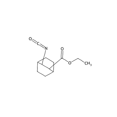 CCOC(=O)C1C2CCC(CC2)C1N=C=O